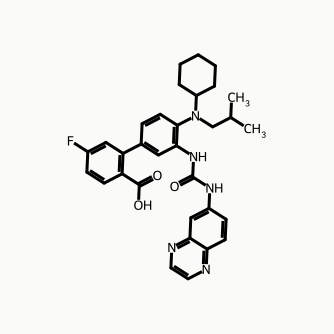 CC(C)CN(c1ccc(-c2cc(F)ccc2C(=O)O)cc1NC(=O)Nc1ccc2nccnc2c1)C1CCCCC1